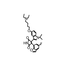 CCN(CC)CCCCOc1ccc2c(c1)c(C1=C(c3cc(F)cc4ccoc34)C(=O)NC1=O)cn2C(C)C